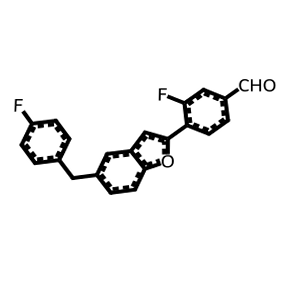 O=Cc1ccc(-c2cc3cc(Cc4ccc(F)cc4)ccc3o2)c(F)c1